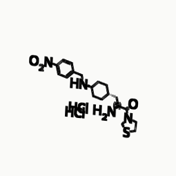 Cl.Cl.N[C@@H](C[C@H]1CC[C@H](NCc2ccc([N+](=O)[O-])cc2)CC1)C(=O)N1CCSC1